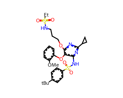 CCS(=O)(=O)NCCCOc1nc(C2CC2)nc(NS(=O)(=O)c2ccc(C(C)(C)C)cc2)c1Oc1ccccc1OC